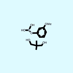 CC(C)(CO)CO.COc1cccc(OB(O)O)c1